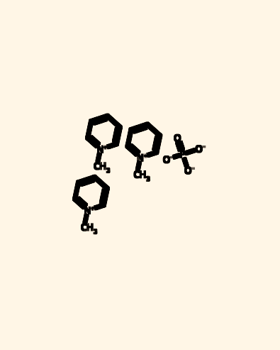 C[n+]1ccccc1.C[n+]1ccccc1.C[n+]1ccccc1.O=P([O-])([O-])[O-]